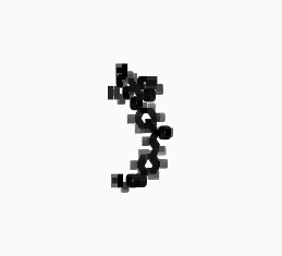 CCC(C)(C)C(=O)OC1CCN(C(=O)/C=C/c2ccc(OC)cc2)CC1